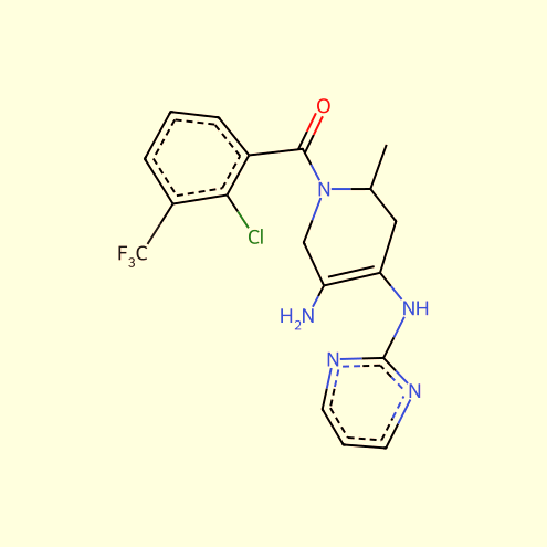 CC1CC(Nc2ncccn2)=C(N)CN1C(=O)c1cccc(C(F)(F)F)c1Cl